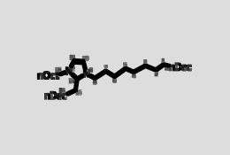 CCCCCCCCCCCCCCCCCCN1C=CN(CCCCCCCC)C1CCCCCCCCCCC